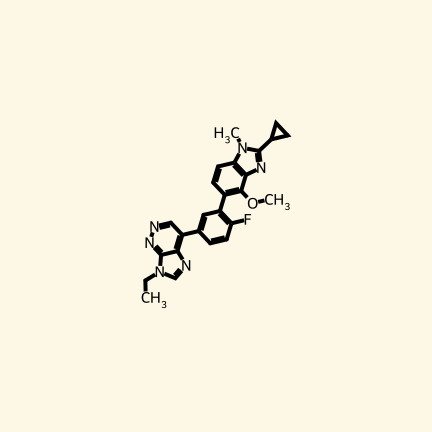 CCn1cnc2c(-c3ccc(F)c(-c4ccc5c(nc(C6CC6)n5C)c4OC)c3)cnnc21